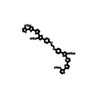 CCCCCCc1ccsc1-c1ccc(-c2ccc(-c3sc(-c4ccc(OCCOc5ccc(-c6cc(CCCCCC)c(-c7ccc(-c8ccc(-c9sccc9CCCCCC)s8)s7)s6)cc5)cc4)cc3CCCCCC)s2)s1